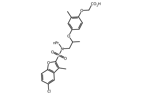 CCCN(CC(C)Oc1ccc(OCC(=O)O)c(C)c1)S(=O)(=O)c1oc2ccc(Cl)cc2c1C